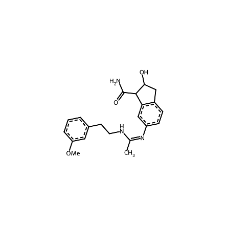 COc1cccc(CCNC(C)=Nc2ccc3c(c2)C(C(N)=O)C(O)C3)c1